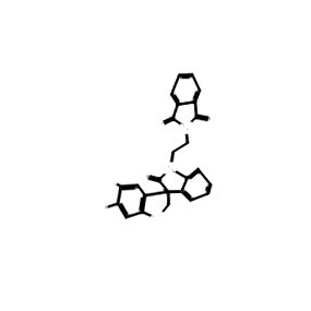 O=C1c2ccccc2C(=O)N1CCN1C(=O)C2(COc3cc(O)c(O)cc32)c2ccccc21